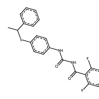 CC(Sc1ccc(NC(=O)NC(=O)c2c(F)cccc2F)cc1)c1ccccc1